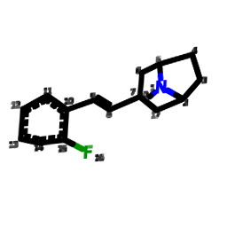 CN1C2CCC1CC(C=Cc1ccccc1F)C2